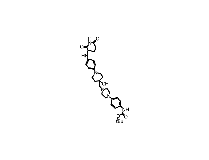 CC(C)(C)OC(=O)Nc1ccc(N2CCN(CC3(O)CCN(c4ccc(NC5CCC(=O)NC5=O)cc4)CC3)CC2)cc1